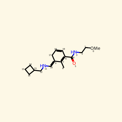 COCCNC(=O)C1=C(C)/C(=C/NCC2CCC2)CC=C1